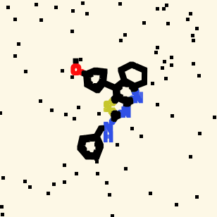 COc1ccc(-c2c3c(nc4nc(NCc5ccccc5)sc24)CCCC3)cc1